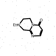 CCN1CCn2c(nccc2=O)C1